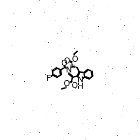 CCOC(=O)C1=CN(C(=O)c2ccc(F)cc2)[C@@H](C(=O)OCC)Cc2c1[nH]c1ccccc21